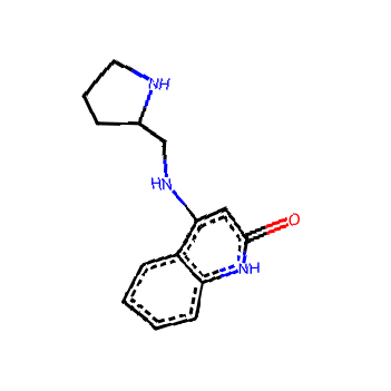 O=c1cc(NCC2CCCN2)c2ccccc2[nH]1